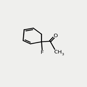 CC(=O)C1(F)C=CC=CC1